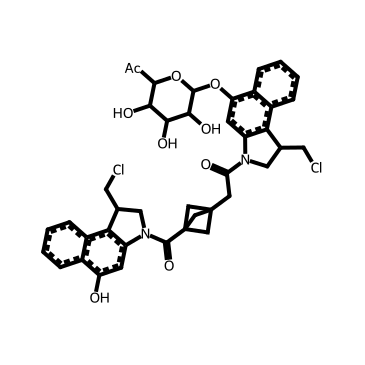 CC(=O)C1OC(Oc2cc3c(c4ccccc24)C(CCl)CN3C(=O)CC23CC(C(=O)N4CC(CCl)c5c4cc(O)c4ccccc54)(C2)C3)C(O)C(O)C1O